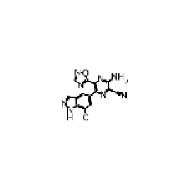 N#Cc1nc(-c2cc(Cl)c3[nH]ncc3c2)c(-c2ncno2)nc1N